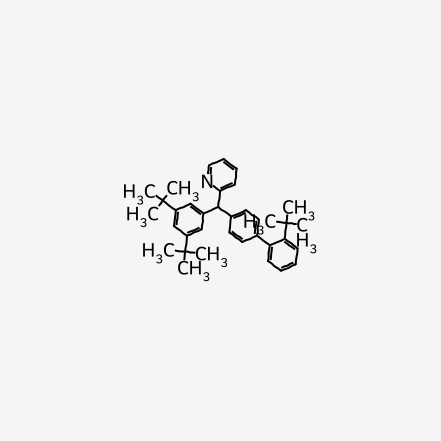 CC(C)(C)c1cc(C(c2ccc(-c3ccccc3C(C)(C)C)cc2)c2ccccn2)cc(C(C)(C)C)c1